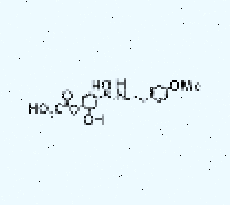 COc1ccc(CCCNC[C@H](O)c2ccc(OC(=O)C(=O)O)c(O)c2)cc1